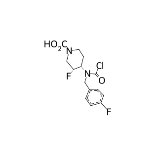 O=C(O)N1CC[C@H](N(Cc2ccc(F)cc2)C(=O)Cl)[C@H](F)C1